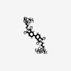 CCO[Si](CCCN1C(=O)C2CCC(C3CCC4C(=O)N(CCC[Si](OCC)(OCC)OCC)C(=O)C4C3)CC2C1=O)(OCC)OCC